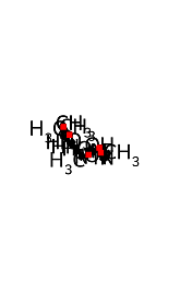 Cc1ncnc2c1ccn2[C@@H]1OC(CN(C)CCCNC(=O)Nc2ccc(C(C)(C)C)cc2)[C@@H](O)[C@H]1O